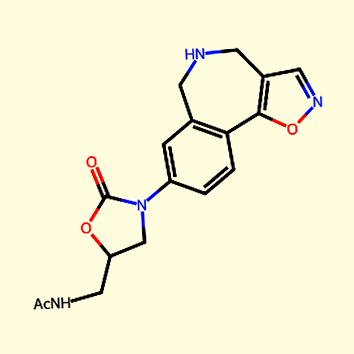 CC(=O)NCC1CN(c2ccc3c(c2)CNCc2cnoc2-3)C(=O)O1